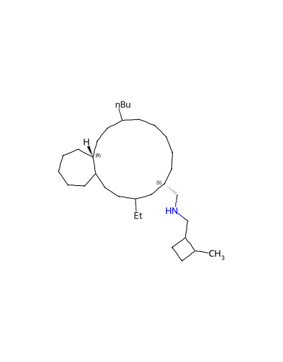 CCCCC1CCCCC[C@H](CNCC2CCC2C)CC(CC)CCC2CCCCC[C@@H]2CC1